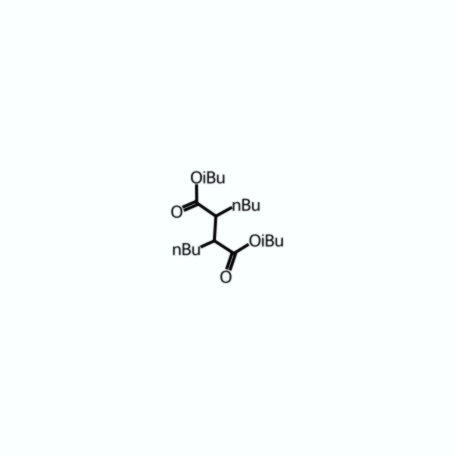 CCCCC(C(=O)OCC(C)C)C(CCCC)C(=O)OCC(C)C